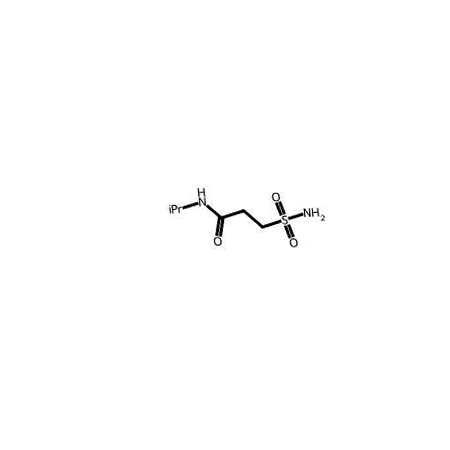 CC(C)NC(=O)CCS(N)(=O)=O